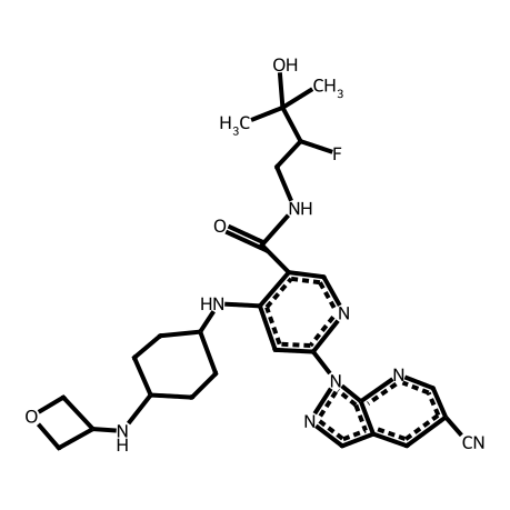 CC(C)(O)C(F)CNC(=O)c1cnc(-n2ncc3cc(C#N)cnc32)cc1NC1CCC(NC2COC2)CC1